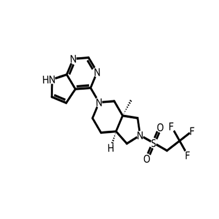 C[C@@]12CN(c3ncnc4[nH]ccc34)CC[C@@H]1CN(S(=O)(=O)CC(F)(F)F)C2